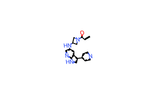 C=CC(=O)N1CC(Nc2cnc3[nH]cc(-c4ccncc4)c3c2)C1